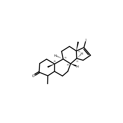 CC1C(=O)CC[C@@]2(C)C1CC[C@@H]1[C@@H]2CC[C@]2(C)C(I)=CC[C@@H]12